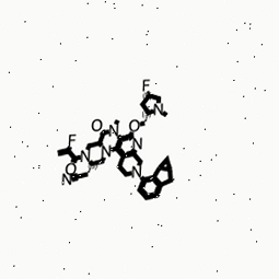 C=C(F)C(=O)N1CC2C(=O)N(C)c3c(OC[C@@H]4C[C@@H](F)CN4C)nc4c(c3N2C[C@@H]1CC#N)CCN(c1cccc2c1C1CC1C2)C4